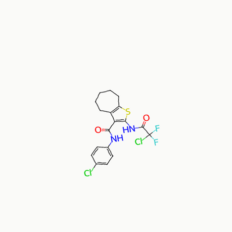 O=C(Nc1ccc(Cl)cc1)c1c(NC(=O)C(F)(F)Cl)sc2c1CCCCC2